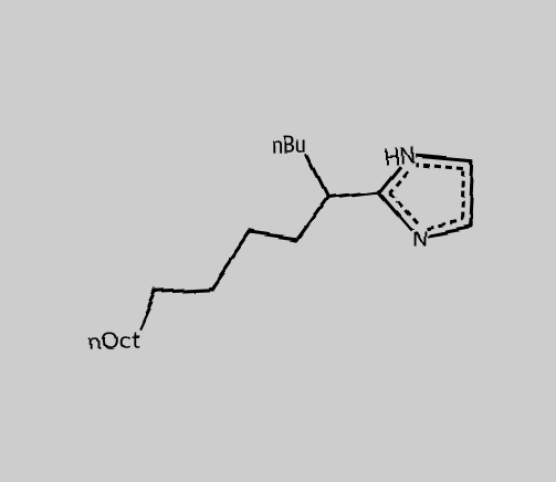 CCCCCCCCCCCCC(CCCC)c1ncc[nH]1